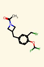 CC(=O)N1CC(Cc2ccc(OC(F)F)c(CBr)c2)C1